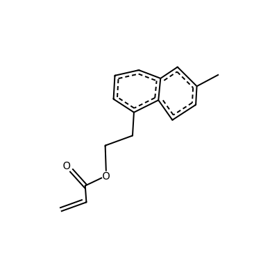 C=CC(=O)OCCc1cccc2cc(C)ccc12